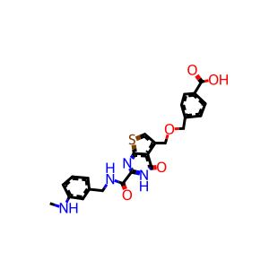 CNc1cccc(CNC(=O)c2nc3scc(COCc4ccc(C(=O)O)cc4)c3c(=O)[nH]2)c1